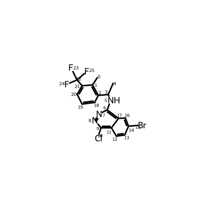 Cc1c(C(C)Nc2nnc(Cl)c3ccc(Br)cc23)cccc1C(F)(F)F